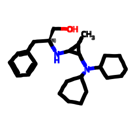 CC1C(N[C@H](CO)Cc2ccccc2)C1N(C1CCCCC1)C1CCCCC1